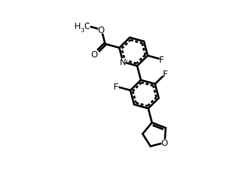 COC(=O)c1ccc(F)c(-c2c(F)cc(C3=COCC3)cc2F)n1